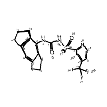 O=C(Nc1c2c(cc3c1CCC3)CCC2)NS(=O)(=O)c1cc(C(F)(F)F)ccn1